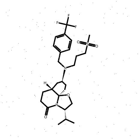 CC(C)[C@H]1CO[C@]23CC[C@H](N(CCCS(C)(=O)=O)Cc4ccc(C(F)(F)F)cc4)C[C@H]2CCC(=O)N13